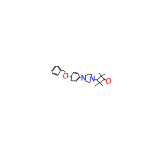 CC1(C)C(=O)C(C)(C)C1N1CCN(c2ccc(OCc3ccccc3)cc2)CC1